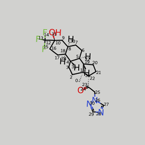 C[C@]12CC[C@H]3[C@@H](CC[C@@H]4C[C@@](O)(C(F)(F)F)CC[C@@H]43)[C@@H]1CC[C@@H]2C(=O)Cn1cncn1